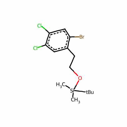 CC(C)(C)[Si](C)(C)OCCc1cc(Cl)c(Cl)cc1Br